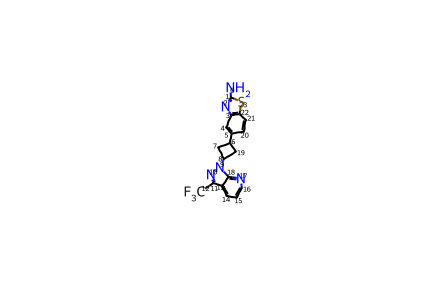 Nc1nc2cc(C3CC(n4nc(C(F)(F)F)c5cccnc54)C3)ccc2s1